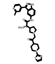 CS[C@@H](C(=O)Nc1ccc2[nH]nc(-c3ccnc(C)c3)c2c1)C1CCN(CC(=O)C2CCN(c3nccs3)CC2)C1